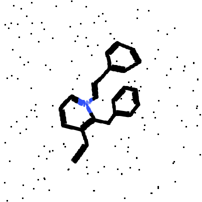 C=Cc1ccc[n+](C=Cc2ccccc2)c1Cc1ccccc1